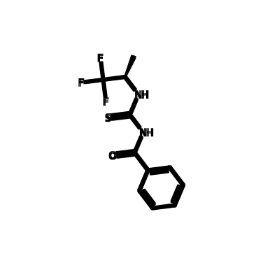 C[C@@H](NC(=S)NC(=O)c1ccccc1)C(F)(F)F